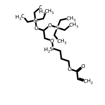 C=CC(=O)OCCC[SiH2]OCC(O[Si](CC)(CC)CC)O[Si](CC)(CC)CC